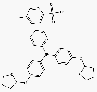 Cc1ccc(S(=O)(=O)[O-])cc1.c1ccc([S+](c2ccc(OC3CCCO3)cc2)c2ccc(OC3CCCO3)cc2)cc1